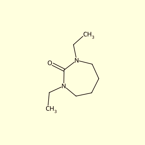 CCN1CCCCN(CC)C1=O